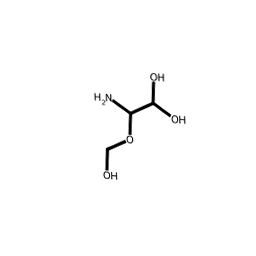 NC(OCO)C(O)O